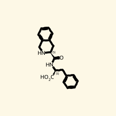 O=C(O)[C@H](Cc1ccccc1)NC(=O)[C@@H]1Cc2ccccc2CN1